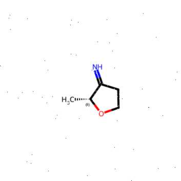 C[C@H]1OCCC1=N